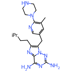 Cc1cc(Cc2c(CCC(C)C)nc3c(N)nc(N)nn23)cnc1N1CCNCC1